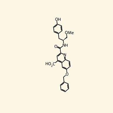 COC[C@H](Cc1ccc(O)cc1)NC(=O)c1cc(C(=O)O)c2cc(OCc3ccccc3)ccc2n1